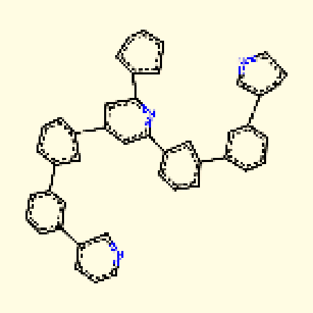 c1ccc(-c2cc(-c3cccc(-c4cccc(-c5cccnc5)c4)c3)cc(-c3cccc(-c4cccc(-c5cccnc5)c4)c3)n2)cc1